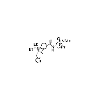 CCC(CC)n1c(Cc2cccs2)nc2cc(C(=O)N[C@@H](CC(C)C)CS(=O)(=O)NC)ccc21